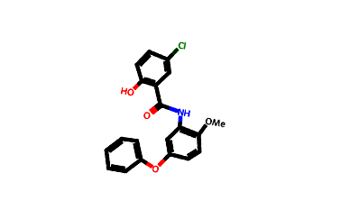 COc1ccc(Oc2ccccc2)cc1NC(=O)c1cc(Cl)ccc1O